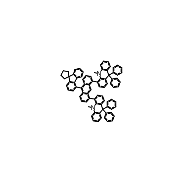 CN1c2ccccc2C(c2ccccc2)(c2ccccc2)c2cccc(-c3cccc4c(-c5cccc6c5-c5ccccc5C65CCCC5)c5cccc(-c6cccc7c6N(C)c6ccccc6C7(c6ccccc6)c6ccccc6)c5cc34)c21